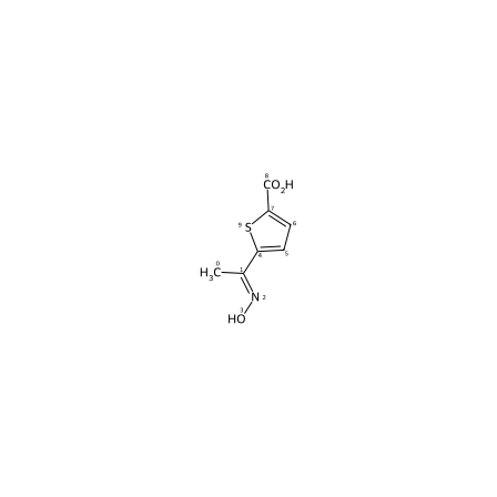 CC(=NO)c1ccc(C(=O)O)s1